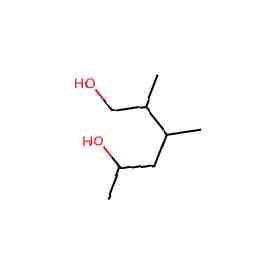 CC(O)CC(C)C(C)CO